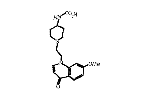 COc1ccc2c(=O)ccn(CCN3CCC(NC(=O)O)CC3)c2c1